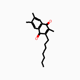 CCCCCCCC1=C(C)C(=O)c2cc(C)c(C)cc2C1=O